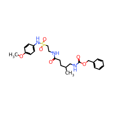 COc1ccc(NS(=O)(=O)CCNC(=O)CCC(C)CNC(=O)OCc2ccccc2)cc1